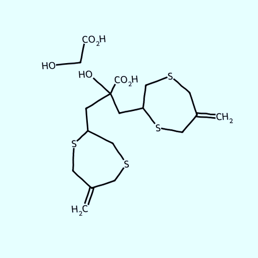 C=C1CSCC(CC(O)(CC2CSCC(=C)CS2)C(=O)O)SC1.O=C(O)CO